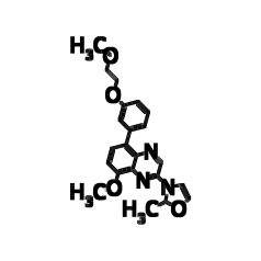 COCCOc1cccc(-c2ccc(OC)c3nc(N4C=COC4C)cnc23)c1